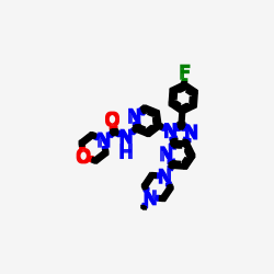 CN1CCN(c2ccc3nc(-c4ccc(F)cc4)n(-c4ccnc(NC(=O)N5CCOCC5)c4)c3n2)CC1